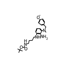 COc1ccc(CN(C)c2cccc(NCCCCNC(=O)OC(C)(C)C)c2N)cc1